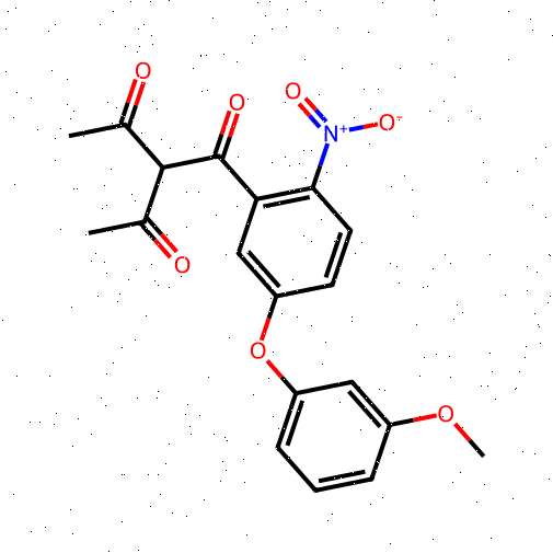 COc1cccc(Oc2ccc([N+](=O)[O-])c(C(=O)C(C(C)=O)C(C)=O)c2)c1